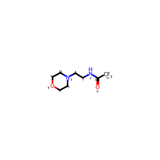 O=C(NCCN1CCOCC1)C(F)(F)F